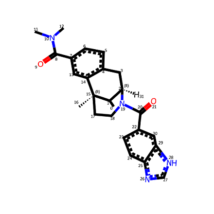 CC1[C@H]2Cc3ccc(C(=O)N(C)C)cc3[C@]1(C)CCN2C(=O)c1ccc2nc[nH]c2c1